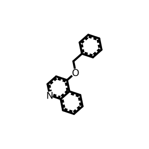 c1ccc(COc2ccnc3ccccc23)cc1